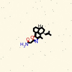 CC(C)=C[C@@H]1C[C@H](C)[C@H]2CCCc3c2c1c(C)c1nc(CC(N)=O)oc31